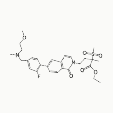 CCOC(=O)C(C)(CCn1ccc2cc(-c3ccc(CN(C)CCOC)cc3F)ccc2c1=O)S(C)(=O)=O